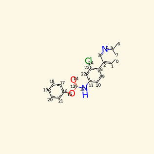 C/C=C(\C=N/C(C)C)c1ccc(NC(=O)Oc2ccccc2)cc1Cl